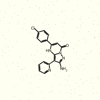 Nc1nn2c(=O)cc(-c3ccc(Cl)cc3)[nH]c2c1-c1ccccn1